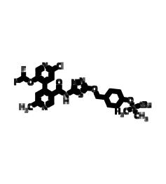 Cc1cc(-c2cc(Cl)ncc2OC(F)F)c(C(=O)Nc2nnc(OCC3CCC(O[Si](C)(C)C(C)(C)C)CC3)s2)cn1